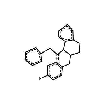 Fc1ccc(CC2CCc3ccccc3C2NCc2ccccc2)cc1